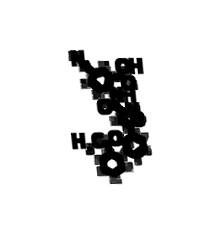 CC(Oc1ccccc1-c1cc(C(=O)Nc2ccc(C#N)cc2C(=O)O)no1)C1CCCCC1